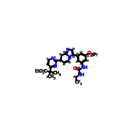 CCOC(=O)C(C)(C)c1ccnc(C2C=Cn3c(-c4cc(NC(=O)NCC(F)(F)F)cc(OC(C)C)c4)cnc3C2)n1